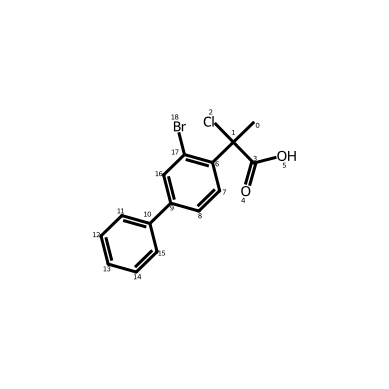 CC(Cl)(C(=O)O)c1ccc(-c2ccccc2)cc1Br